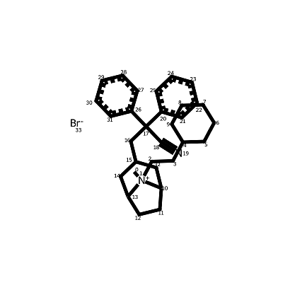 C[N+]1(CCC2CCCCC2)C2CCC1CC(CC(C#N)(c1ccccc1)c1ccccc1)C2.[Br-]